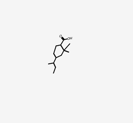 CCC(C)C1CCC(C(=O)O)C(C)(C)C1